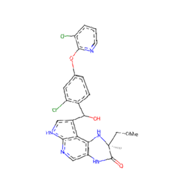 COC[C@]1(C)Nc2c(cnc3[nH]cc(C(O)c4ccc(Oc5ncccc5Cl)cc4Cl)c23)NC1=O